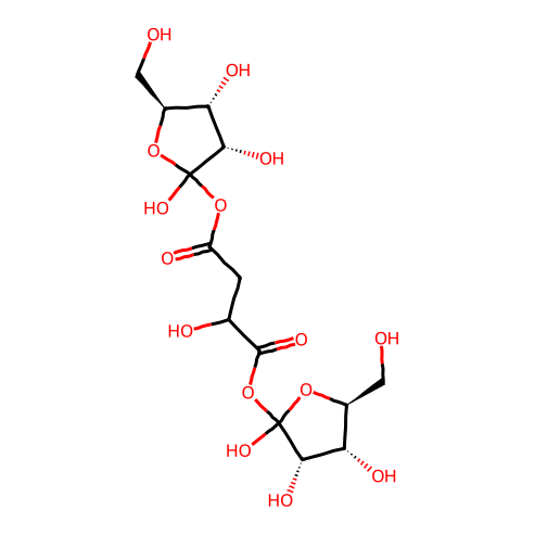 O=C(CC(O)C(=O)OC1(O)O[C@@H](CO)[C@H](O)[C@@H]1O)OC1(O)O[C@@H](CO)[C@H](O)[C@@H]1O